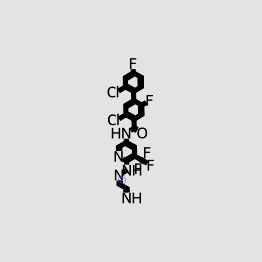 N=C/C=N\Nc1ncc(NC(=O)c2cc(F)c(-c3ccc(F)cc3Cl)cc2Cl)cc1C(F)(F)F